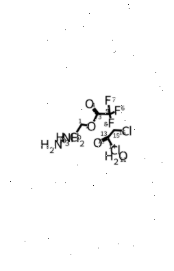 CCOC(=O)C(F)(F)F.NN.O.O=C(Cl)CCl